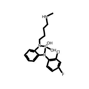 CNCCCCN1c2ccccc2N(c2ccc(F)cc2Cl)S1(O)O